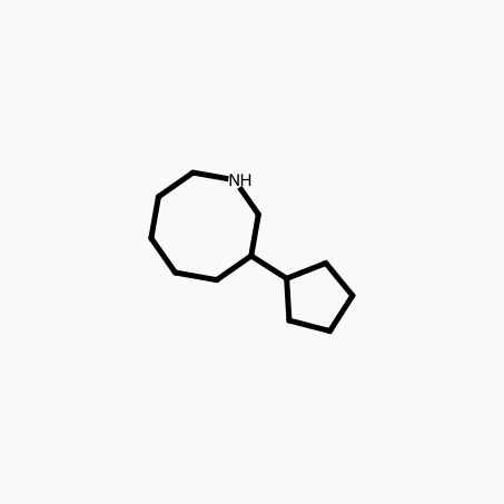 C1CCNCC(C2CCCC2)CC1